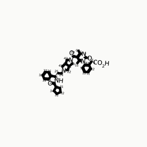 Cc1nc(O[C@H](C(=O)O)c2ccccc2)nc(C)c1C(=O)N1CC2CN(CC[C@H](NC(=O)C3CCCC3)c3ccccc3)CC2C1